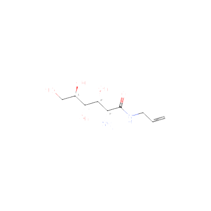 C=CCNC(=O)[C@H](N)[C@@H](O)[C@H](O)[C@H](O)CO